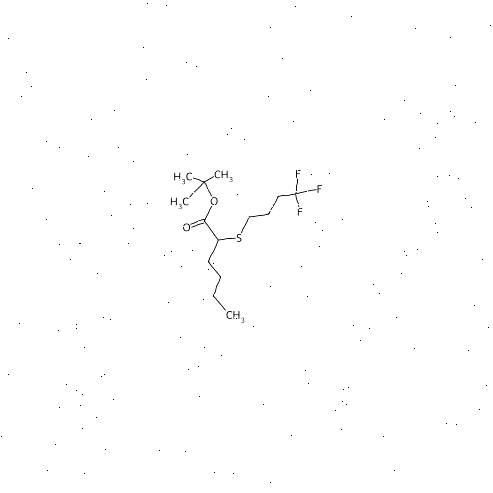 CCCCC(SCCCC(F)(F)F)C(=O)OC(C)(C)C